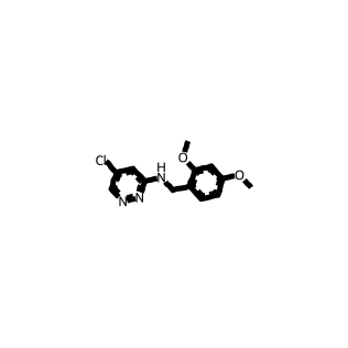 COc1ccc(CNc2cc(Cl)cnn2)c(OC)c1